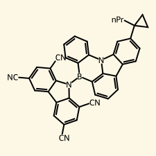 CCCC1(c2ccc3c4cccc5c4n(c3c2)-c2ccccc2B5n2c3c(C#N)cc(C#N)cc3c3cc(C#N)cc(C#N)c32)CC1